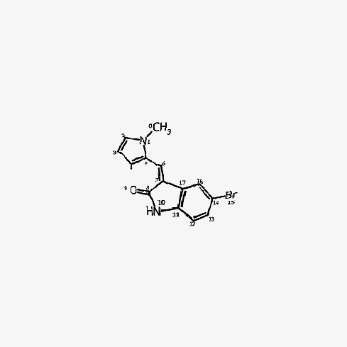 Cn1cccc1C=C1C(=O)Nc2ccc(Br)cc21